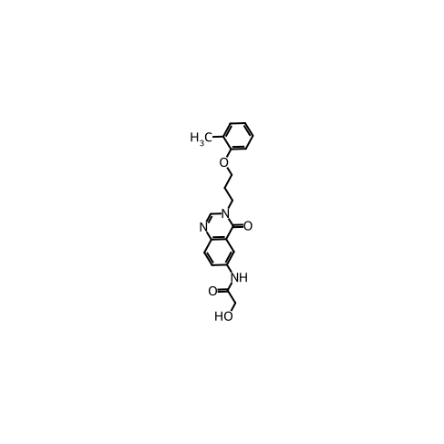 Cc1ccccc1OCCCn1cnc2ccc(NC(=O)CO)cc2c1=O